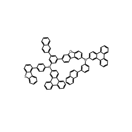 c1cc(-c2ccc3ccccc3c2)cc(N(c2ccc3oc4cc(-c5cc(-c6ccc7ccccc7c6)cc(N(c6ccc(-c7cccc8sc9ccccc9c78)cc6)c6ccc7c8ccccc8c8ccccc8c7c6)c5)ccc4c3c2)c2ccc3c4ccccc4c4ccccc4c3c2)c1